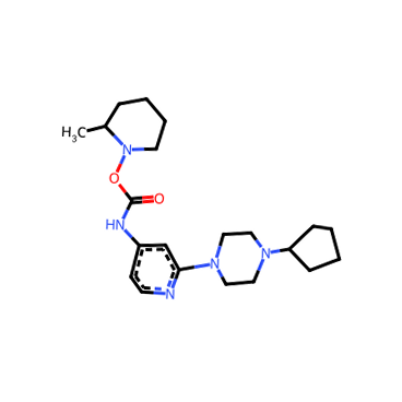 CC1CCCCN1OC(=O)Nc1ccnc(N2CCN(C3CCCC3)CC2)c1